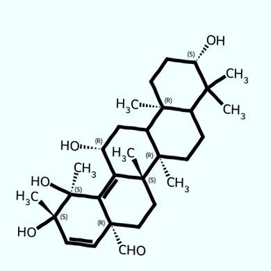 CC1(C)C2CC[C@]3(C)C(C[C@@H](O)C4=C5[C@](C=O)(C=C[C@](C)(O)[C@@]5(C)O)CC[C@]43C)[C@@]2(C)CC[C@@H]1O